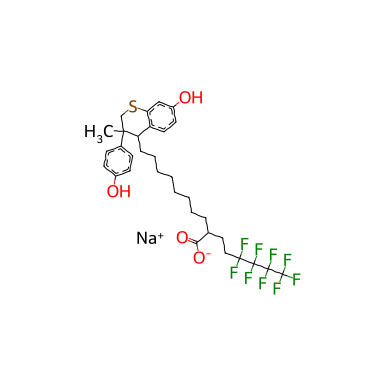 CC1(c2ccc(O)cc2)CSc2cc(O)ccc2C1CCCCCCCCC(CCC(F)(F)C(F)(F)C(F)(F)C(F)(F)F)C(=O)[O-].[Na+]